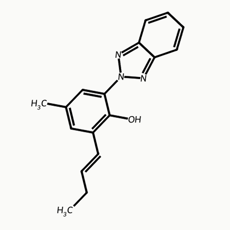 CCC=Cc1cc(C)cc(-n2nc3ccccc3n2)c1O